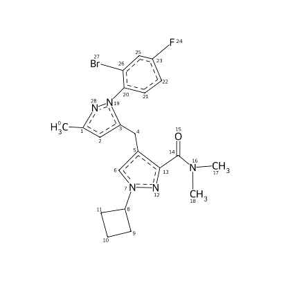 Cc1cc(Cc2cn(C3CCC3)nc2C(=O)N(C)C)n(-c2ccc(F)cc2Br)n1